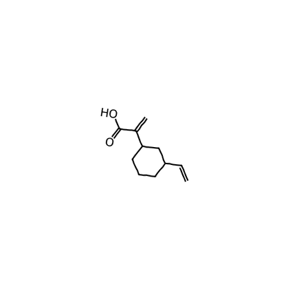 C=CC1CCCC(C(=C)C(=O)O)C1